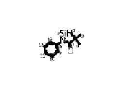 CC(C)(C)C(=O)N([SiH3])c1ccccc1